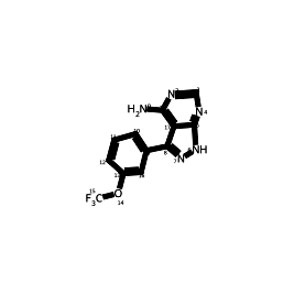 Nc1ncnc2[nH]nc(-c3cccc(OC(F)(F)F)c3)c12